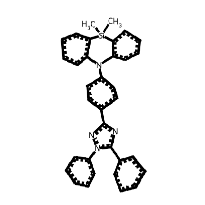 C[Si]1(C)c2ccccc2N(c2ccc(-c3nc(-c4ccccc4)n(-c4ccccc4)n3)cc2)c2ccccc21